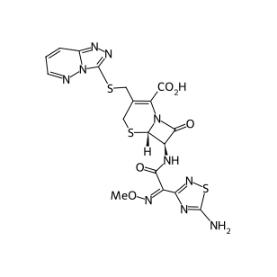 CO/N=C(\C(=O)N[C@@H]1C(=O)N2C(C(=O)O)=C(CSc3nnc4cccnn34)CS[C@@H]12)c1nsc(N)n1